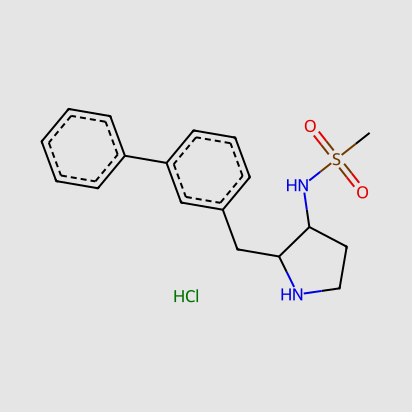 CS(=O)(=O)NC1CCNC1Cc1cccc(-c2ccccc2)c1.Cl